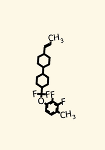 C/C=C/C1CCC(C2CCC(C(F)(F)Oc3ccc(C)c(F)c3F)CC2)CC1